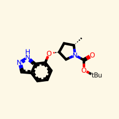 C[C@H]1C[C@@H](Oc2cccc3cn[nH]c23)CN1C(=O)OC(C)(C)C